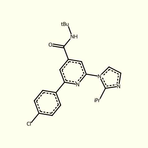 CC(C)c1nccn1-c1cc(C(=O)NC(C)(C)C)cc(-c2ccc(Cl)cc2)n1